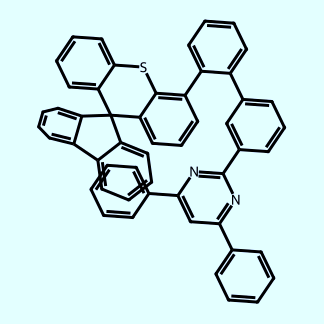 c1ccc(-c2cc(-c3ccccc3)nc(-c3cccc(-c4ccccc4-c4cccc5c4Sc4ccccc4C54c5ccccc5-c5ccccc54)c3)n2)cc1